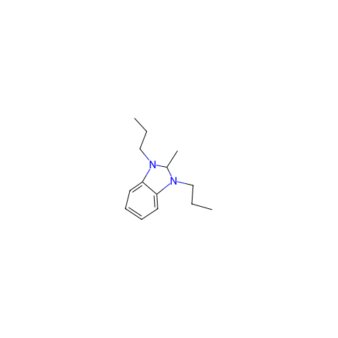 CCCN1c2ccccc2N(CCC)C1C